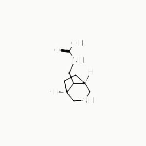 O=C(O)NCC1[C@@H]2CC[C@H]1CNC2